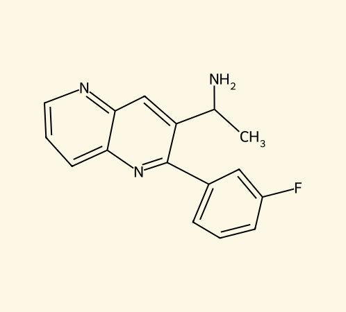 CC(N)c1cc2ncccc2nc1-c1cccc(F)c1